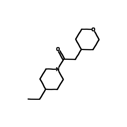 CCC1CCN(C(=O)CC2CCOCC2)CC1